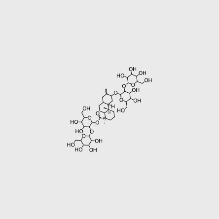 C=C1CC2CCC3[C@](C)(C(=O)OC4OC(CO)C(O)C(O)C4OC4OC(CO)C(O)C(O)C4O)CCC[C@@]3(C)[C@@H]2CC1OC1OC(CO)C(O)C(O)C1OC1OC(CO)C(O)C(O)C1O